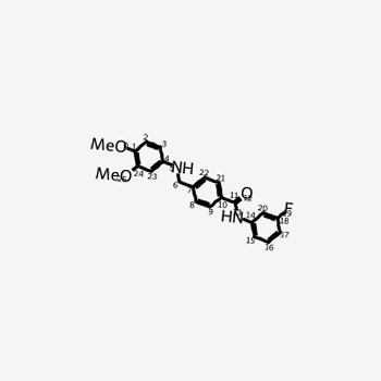 COc1ccc(NCc2ccc(C(=O)Nc3cccc(F)c3)cc2)cc1OC